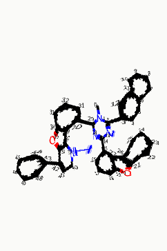 CN1C(c2ccc3ccccc3c2)=NC(c2cccc3oc4ccccc4c23)=NC1c1cccc2oc3c(c12)NCC=C3c1ccccc1